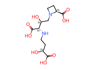 O=C(O)[C@@H](NCC[C@H](O)C(=O)O)[C@@H](O)CN1CC[C@H]1C(=O)O